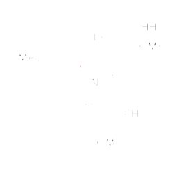 COC(C)[O][Al]([O]C(C)OC)[O]C(C)OC.[HH]